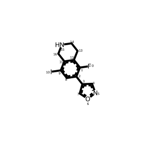 Fc1c(-c2cnoc2)cc(I)c2c1CCNC2